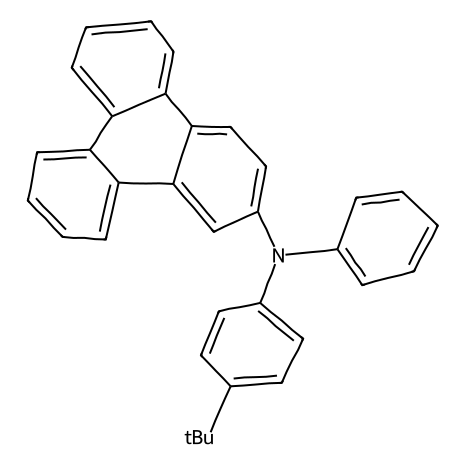 CC(C)(C)c1ccc(N(c2ccccc2)c2ccc3c4ccccc4c4ccccc4c3c2)cc1